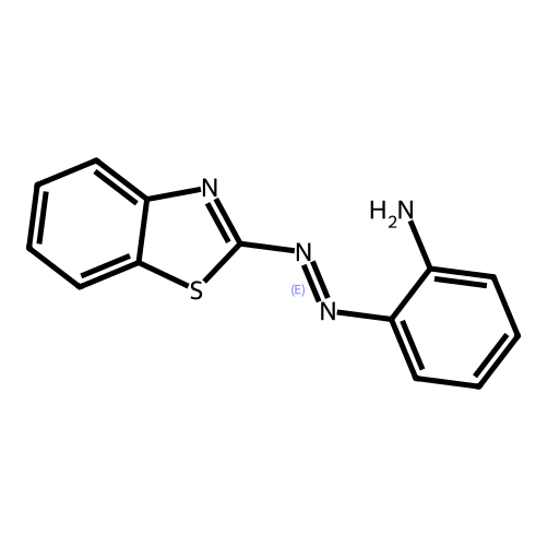 Nc1ccccc1/N=N/c1nc2ccccc2s1